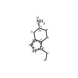 CCn1ncc2c1CC[C@H](N)C2